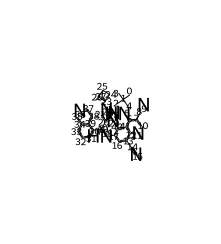 CC(C)(C)CNc1c(C#N)cnc2c(C#N)cc(N[C@H](c3cn(C45CC(C4)C5)nn3)c3cccc4cnccc34)cc12